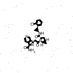 NC(=O)c1nn(CC(=O)N2[C@@H]3C[C@@H]3C[C@H]2C(=O)N[C@@H]2C[C@H]2c2ccccc2Cl)c2cnccc12